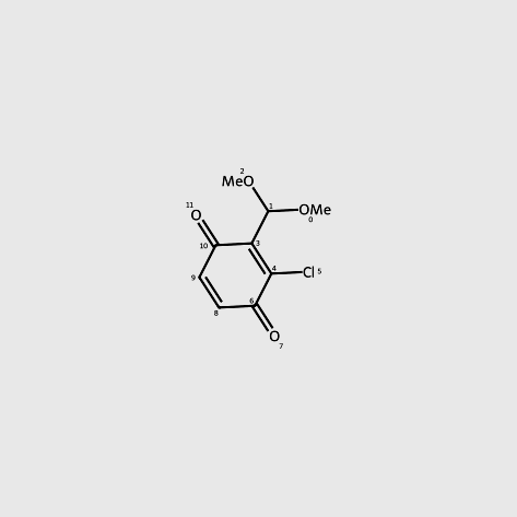 COC(OC)C1=C(Cl)C(=O)C=CC1=O